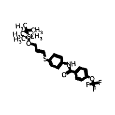 CC(C)(C)[Si](C)(C)OCC=CSc1ccc(NC(=O)c2ccc(OC(F)(F)F)cc2)cc1